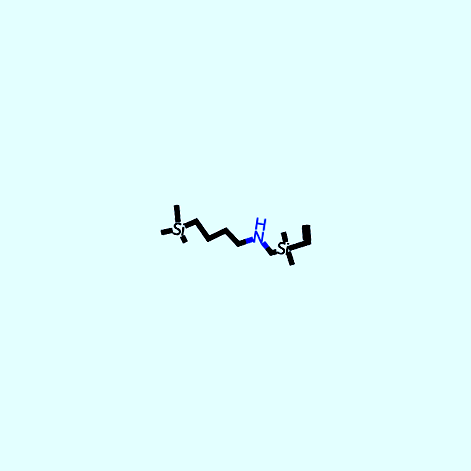 C=C[Si](C)(C)CNCCCC[Si](C)(C)C